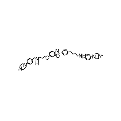 CN1CCN(c2ccc(CNCCCCc3ccc(-c4nc5ccc(OCCCNCc6ccc(N7CCN(C)CC7)cc6)cc5o4)cc3)cc2)CC1